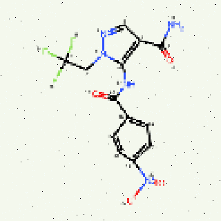 NC(=O)c1cnn(CC(F)(F)F)c1NC(=O)c1ccc([N+](=O)[O-])cc1